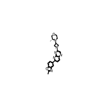 Cc1nc2cc(-c3ccc4ncc(N5CC(N6CCOC[C@H]6C)C5)nc4n3)ccc2o1